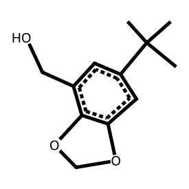 CC(C)(C)c1cc(CO)c2c(c1)OCO2